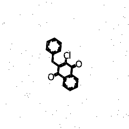 O=C1C(Cl)=C(Cc2ccccc2)C(=O)c2ccccc21